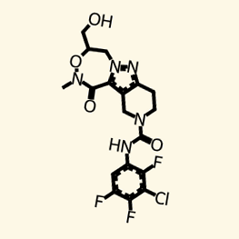 CN1OC(CO)Cn2nc3c(c2C1=O)CN(C(=O)Nc1cc(F)c(F)c(Cl)c1F)CC3